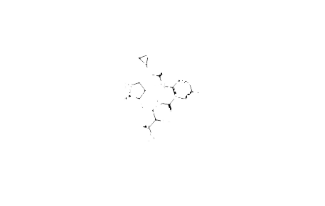 CNC(=O)C(O)[C@H](C[C@@H]1CCNC1=O)NC(=O)c1cc(Cl)ccc1NC(=O)OC1CC1